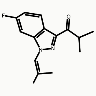 CC(C)=Cn1nc(C(=O)C(C)C)c2ccc(F)cc21